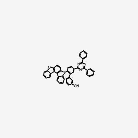 N#Cc1cccc(-c2cc(-c3nc(-c4ccccc4)nc(-c4ccccc4)n3)ccc2-n2c3ccccc3c3c4c(ccc32)oc2ccccc24)c1